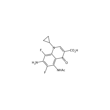 CC(=O)Nc1c(F)c(N)c(F)c2c1c(=O)c(C(=O)O)cn2C1CC1